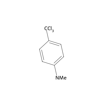 CNc1ccc(C(Cl)(Cl)Cl)cc1